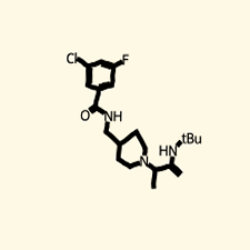 C=C(NC(C)(C)C)C(C)N1CCC(CNC(=O)c2cc(F)cc(Cl)c2)CC1